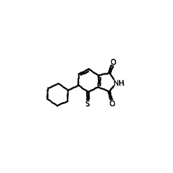 O=C1NC(=O)C2=C1C=CC(C1CCCCC1)C2=S